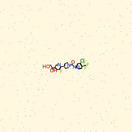 O=C(Nc1ccc(C(F)(F)F)c(Cl)c1)N1CC=C(c2ncc([C@H](O)CO)cc2F)CC1